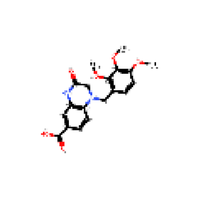 COc1ccc(CN2CC(=O)Nc3cc(C(=O)O)ccc32)c(OC)c1OC